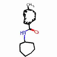 Cc1ccc(C(=O)NC2CCCCCC2)cc1